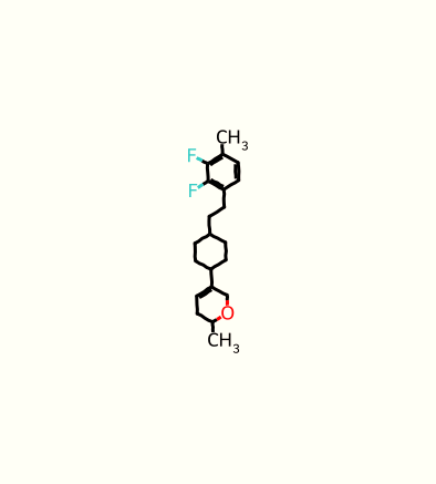 Cc1ccc(CCC2CCC(C3=CCC(C)OC3)CC2)c(F)c1F